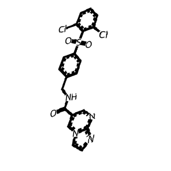 O=C(NCc1ccc(S(=O)(=O)c2c(Cl)cccc2Cl)cc1)c1cnc2nccn2c1